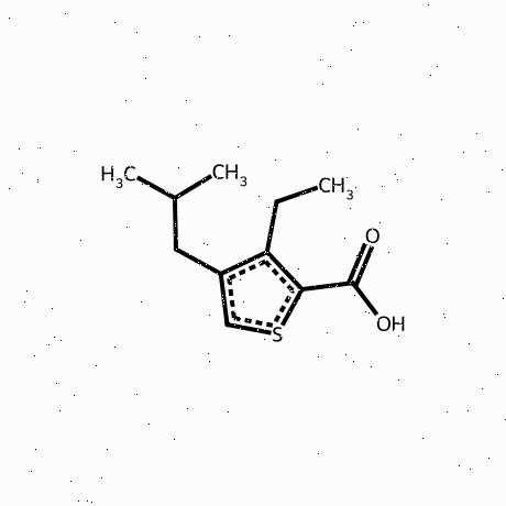 CCc1c(CC(C)C)csc1C(=O)O